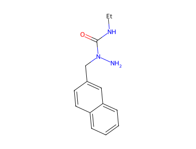 CCNC(=O)N(N)Cc1ccc2ccccc2c1